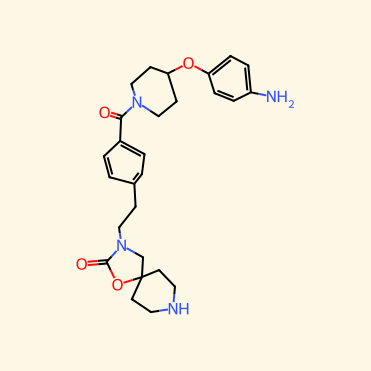 Nc1ccc(OC2CCN(C(=O)c3ccc(CCN4CC5(CCNCC5)OC4=O)cc3)CC2)cc1